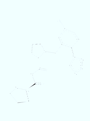 O=C(NC(=O)[C@@H]1CCCN1Cc1cc(Cl)ccc1-n1cnnn1)[C@H]1CCCN1